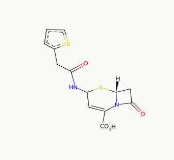 O=C(Cc1cccs1)NC1C=C(C(=O)O)N2C(=O)C[C@H]2S1